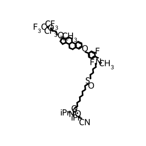 CC(C)N(C(C)C)P(OCCC#N)OCCCCCCCCC(=O)SCCCCCCN(C)Cc1c(F)cc(COc2ccc3c(c2)CCC2C3CC[C@@]3(C)C2CC[C@@H]3OCCCOC(C(F)(F)F)(C(F)(F)F)C(F)(F)F)cc1F